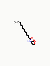 O=CCCCCCCCCCCC(=O)NC1CCOC1=O